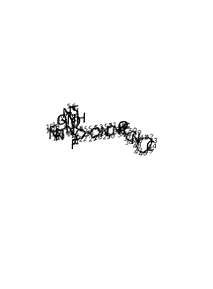 O=C(Nc1nccs1)C(c1ncn2c1CCC2)N1Cc2c(F)cc(-c3ccc(N4CCN(C(=O)CC5(F)CCN(C6CCCCCCCC6)CC5)CC4)cc3)cc2C1=O